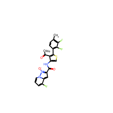 COC(=O)c1c(NC(=O)c2cc3c(F)cccn3[n+]2[O-])csc1-c1ccc(C)c(F)c1F